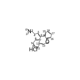 CN(C)CC/C=C1\C2=CC=CCC2=COc2ccccc21.Cl